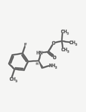 Cc1ccc(F)c([C@H](CN)NC(=O)OC(C)(C)C)c1